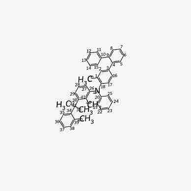 Cc1cc(-c2ccccc2-c2ccccc2)ccc1N(c1ccccc1)c1cccc(C(C)(C)c2ccccc2C)c1C